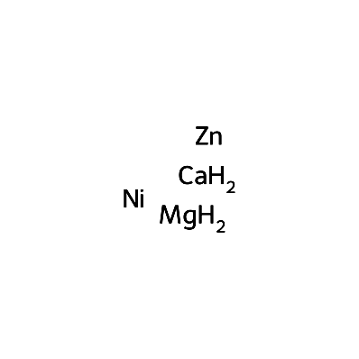 [CaH2].[MgH2].[Ni].[Zn]